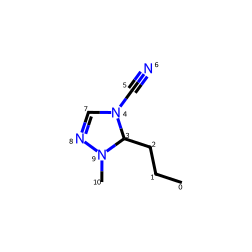 CCCC1N(C#N)C=NN1C